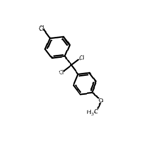 COc1ccc(C(Cl)(Cl)c2ccc(Cl)cc2)cc1